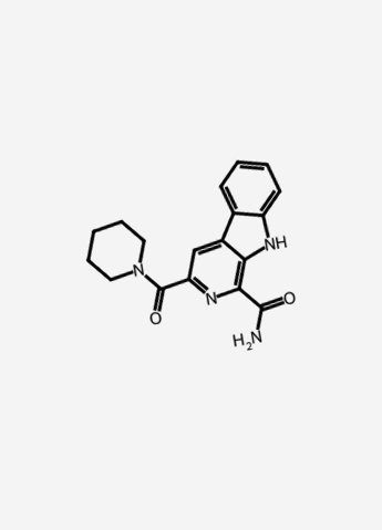 NC(=O)c1nc(C(=O)N2CCCCC2)cc2c1[nH]c1ccccc12